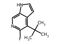 CC(C)(C)c1c(F)ncc2[nH]ccc12